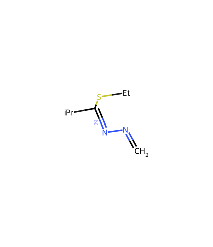 C=N/N=C(\SCC)C(C)C